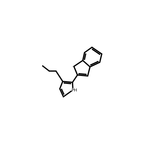 CCCc1cc[pH]c1C1=Cc2ccccc2[CH]1